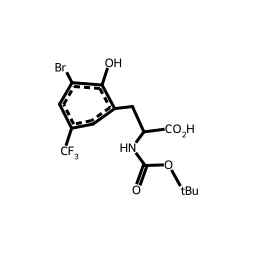 CC(C)(C)OC(=O)NC(Cc1cc(C(F)(F)F)cc(Br)c1O)C(=O)O